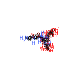 NCc1ccc(C(=O)Nc2ccc(C(=O)NCC(=O)Nc3c(I)c(C(=O)NCC(O)C(O)C(O)C(O)CO)c(I)c(C(=O)NCC(O)C(O)C(O)C(O)CO)c3I)cc2)cc1